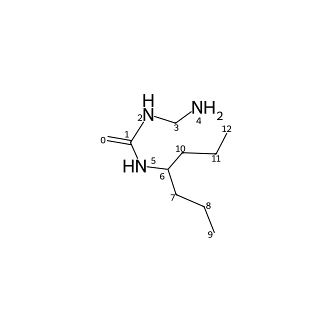 C=C(NCN)NC(CCC)CCC